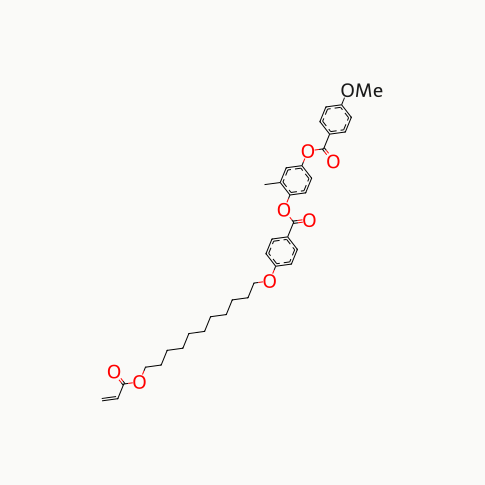 C=CC(=O)OCCCCCCCCCCCOc1ccc(C(=O)Oc2ccc(OC(=O)c3ccc(OC)cc3)cc2C)cc1